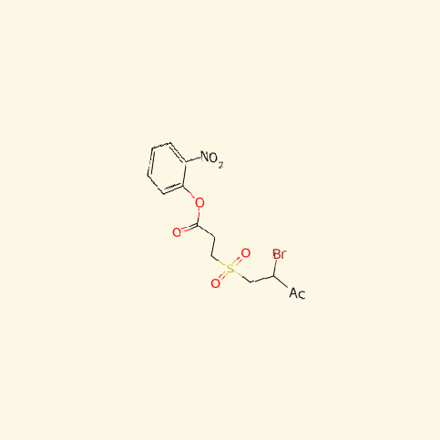 CC(=O)C(Br)CS(=O)(=O)CCC(=O)Oc1ccccc1[N+](=O)[O-]